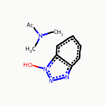 CC(=O)N(C)C.On1nnc2ccccc21